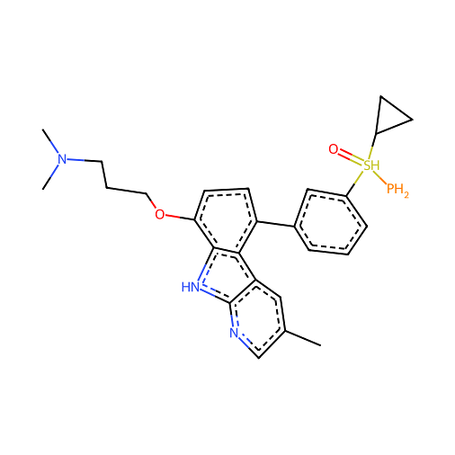 Cc1cnc2[nH]c3c(OCCCN(C)C)ccc(-c4cccc([SH](=O)(P)C5CC5)c4)c3c2c1